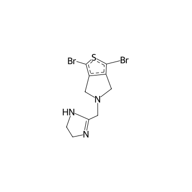 Brc1sc(Br)c2c1CN(CC1=NCCN1)C2